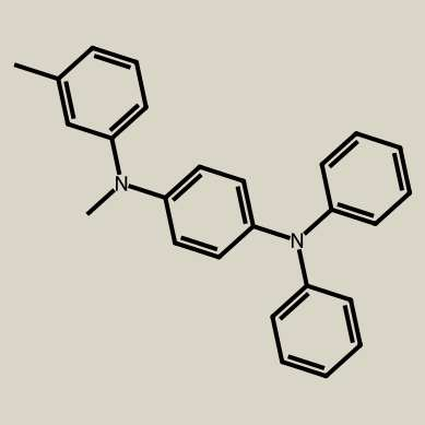 Cc1cccc(N(C)c2ccc(N(c3ccccc3)c3ccccc3)cc2)c1